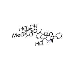 CO[C@@H]1[C@@H](O)[C@@H](O)[C@H](Oc2ccc3c(O)c(/C(C)=N\Oc4ccccc4)c(=O)oc3c2C)OC1(C)C